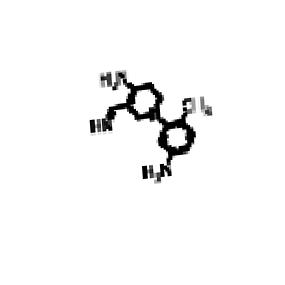 Cc1ccc(N)cc1N1CCC(N)=C(C=N)C1